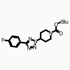 CC(C)(C)OC(=O)N1CCC(n2nnc(-c3ccc(F)cc3)n2)CC1